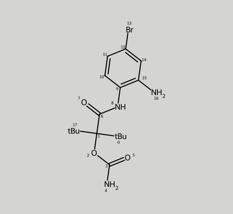 CC(C)(C)C(OC(N)=O)(C(=O)Nc1ccc(Br)cc1N)C(C)(C)C